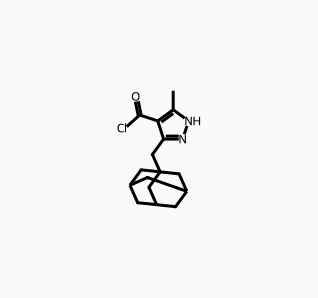 Cc1[nH]nc(CC23CC4CC(CC(C4)C2)C3)c1C(=O)Cl